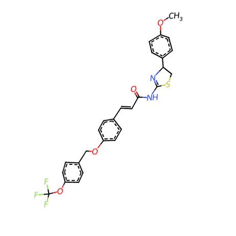 COc1ccc(C2CSC(NC(=O)/C=C/c3ccc(OCc4ccc(OC(F)(F)F)cc4)cc3)=N2)cc1